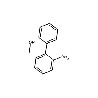 CO.Nc1ccccc1-c1ccccc1